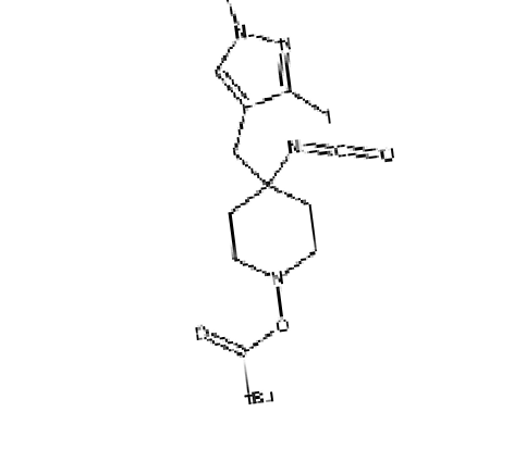 CC(C)n1cc(CC2(N=C=O)CCN(OC(=O)C(C)(C)C)CC2)c(I)n1